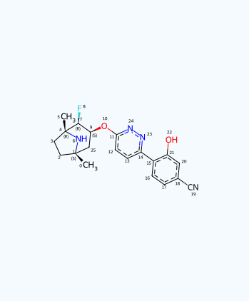 C[C@@]12CC[C@@](C)(N1)[C@@H](F)[C@@H](Oc1ccc(-c3ccc(C#N)cc3O)nn1)C2